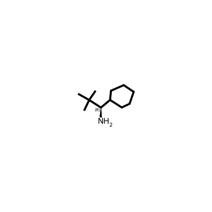 CC(C)(C)[C@H](N)C1CCCCC1